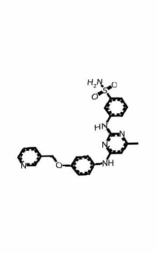 Cc1cc(Nc2ccc(OCc3cccnc3)cc2)nc(Nc2cccc(S(N)(=O)=O)c2)n1